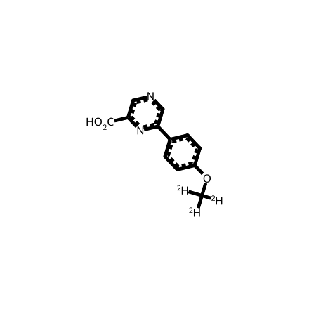 [2H]C([2H])([2H])Oc1ccc(-c2cncc(C(=O)O)n2)cc1